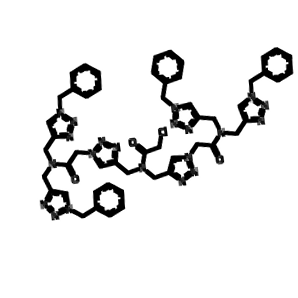 O=C(CCl)N(Cc1cn(CC(=O)N(Cc2cn(Cc3ccccc3)nn2)Cc2cn(Cc3ccccc3)nn2)nn1)Cc1cn(CC(=O)N(Cc2cn(Cc3ccccc3)nn2)Cc2cn(Cc3ccccc3)nn2)nn1